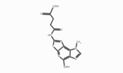 CNc1nc2sc(NC(=O)CCC(=O)OC)nc2c2c1ncn2C